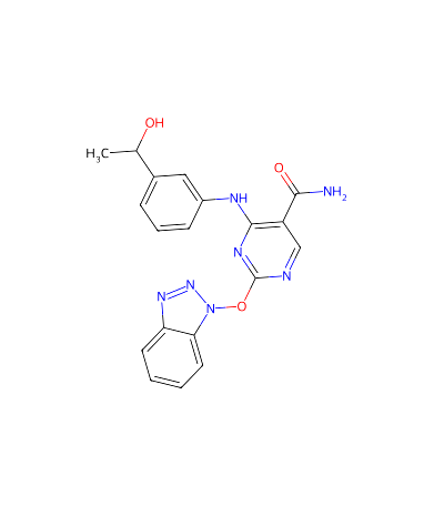 CC(O)c1cccc(Nc2nc(On3nnc4ccccc43)ncc2C(N)=O)c1